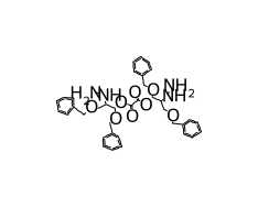 NNC(COCc1ccccc1)C(OCc1ccccc1)OC(=O)C(=O)OC(OCc1ccccc1)C(COCc1ccccc1)NN